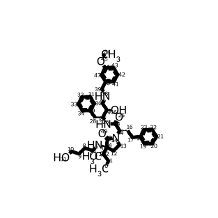 CC[C@H](C)[C@@]1(NC(=O)CCCO)CCN([C@@H](CCc2ccccc2)C(=O)N[C@@H](Cc2ccccc2)[C@H](O)CNCc2cccc(OC)c2)C1=O